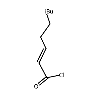 CCC(C)CCC=CC(=O)Cl